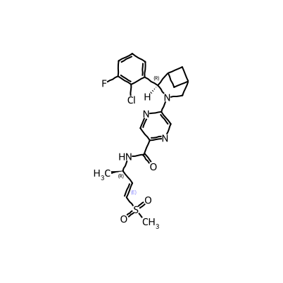 C[C@H](/C=C/S(C)(=O)=O)NC(=O)c1cnc(N2CC3CC(C3)[C@@H]2c2cccc(F)c2Cl)cn1